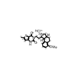 COc1cccc2c1CC[C@H]1CNC(CCn3c(=O)[nH]c4cc(C)sc4c3=O)[C@@H]21.Cl